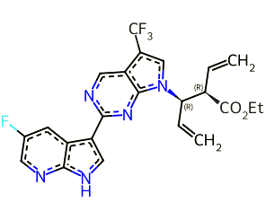 C=C[C@H]([C@@H](C=C)C(=O)OCC)n1cc(C(F)(F)F)c2cnc(-c3c[nH]c4ncc(F)cc34)nc21